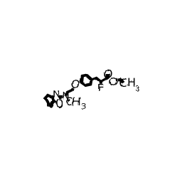 CCOC(=O)C(F)Cc1ccc(OCCN(C)c2nc3ccccc3o2)cc1